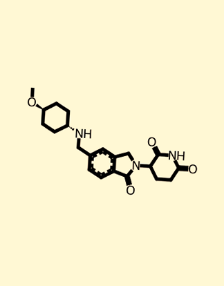 CO[C@H]1CC[C@H](NCc2ccc3c(c2)CN(C2CCC(=O)NC2=O)C3=O)CC1